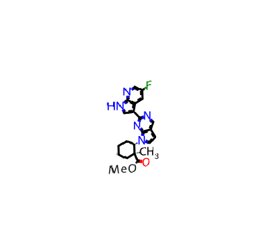 COC(=O)[C@@]1(C)CCCC[C@@H]1n1ccc2cnc(-c3c[nH]c4ncc(F)cc34)nc21